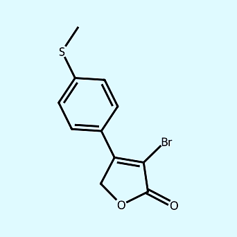 CSc1ccc(C2=C(Br)C(=O)OC2)cc1